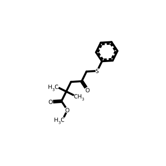 COC(=O)C(C)(C)CC(=O)CSc1ccccc1